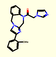 COc1ccccc1-c1cn2c(n1)CN(C(=O)Cn1ccnc1)c1ccccc1C2